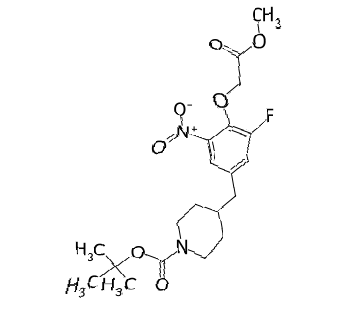 COC(=O)COc1c(F)cc(CC2CCN(C(=O)OC(C)(C)C)CC2)cc1[N+](=O)[O-]